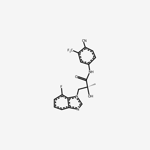 C[C@](O)(Cn1cnc2cccc(F)c21)C(=O)Nc1ccc(C#N)c(C(F)(F)F)c1